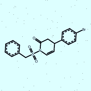 O=C1CC(c2ccc(Br)cc2)C=CN1S(=O)(=O)Cc1ccccc1